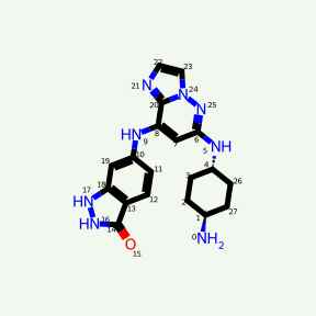 N[C@H]1CC[C@H](Nc2cc(Nc3ccc4c(=O)[nH][nH]c4c3)c3nccn3n2)CC1